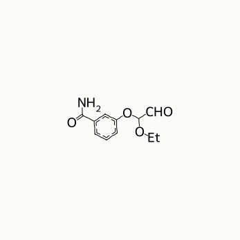 CCOC(C=O)Oc1cccc(C(N)=O)c1